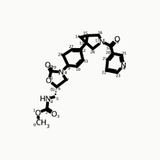 COC(=O)NC[C@H]1CN(C2C=CC(C34CC3CN(C(=O)c3cccnc3)C4)=CC2)C(=O)O1